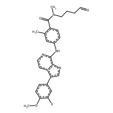 COc1ccc(-c2cnc3c(Nc4ccc(C(=O)N(C)CCCC=O)c(C)c4)nccn23)cc1F